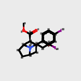 COC(=O)[C@H]1C(c2ccc(I)cc2)CC2CCC1N2CCCI